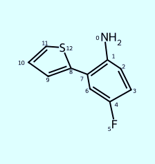 Nc1ccc(F)cc1-c1cccs1